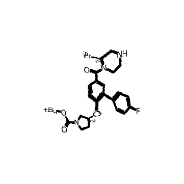 CC(C)[C@H]1CNCCN1C(=O)c1ccc(O[C@H]2CCN(C(=O)OC(C)(C)C)C2)c(-c2ccc(F)cc2)c1